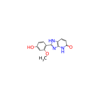 COc1cc(O)ccc1-c1nc2[nH]c(=O)ccc2[nH]1